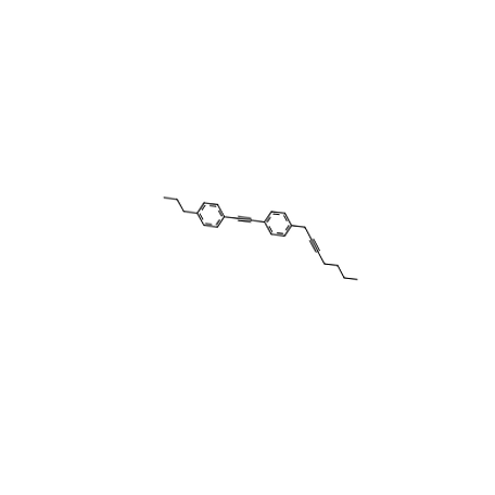 CCCCC#CCc1ccc(C#Cc2ccc(CCC)cc2)cc1